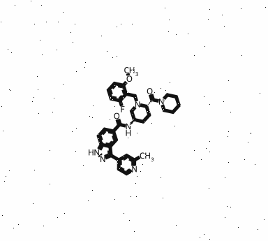 COc1cccc(F)c1CN1C[C@H](NC(=O)c2ccc3[nH]nc(-c4ccnc(C)c4)c3c2)CC[C@H]1C(=O)N1CCCCC1